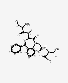 C[C@@H](O)[C@H](NC(=O)CN1C(=O)C(N(C)C(=O)C(N)CS)N=C(c2ccccc2)c2ccccc21)C(=O)O